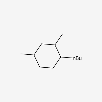 CCCCC1CCC(C)CC1C